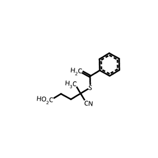 C=C(SC(C)(C#N)CCC(=O)O)c1ccccc1